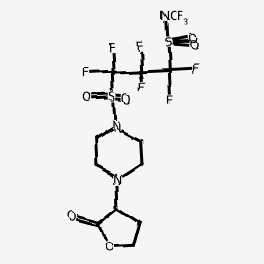 O=C1OCCC1N1CCN(S(=O)(=O)C(F)(F)C(F)(F)C(F)(F)S(=O)(=O)NC(F)(F)F)CC1